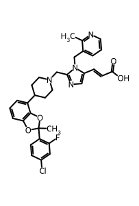 Cc1ncccc1Cn1c(/C=C/C(=O)O)cnc1CN1CCC(c2cccc3c2OC(C)(c2ccc(Cl)cc2F)O3)CC1